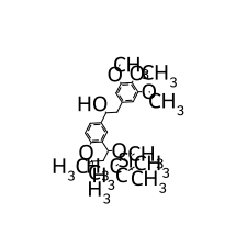 COc1cc(CC(O)c2ccc3c(c2)C(O[Si](C)(C)C(C)(C)C)CC(C)(C)O3)cc(OC)c1OC